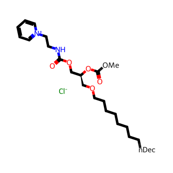 CCCCCCCCCCCCCCCCCCOC[C@@H](COC(=O)NCC[n+]1ccccc1)OC(=O)OC.[Cl-]